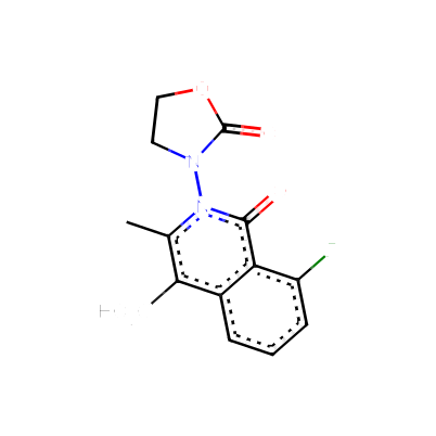 Cc1c(C(=O)O)c2cccc(F)c2c(=O)n1N1CCOC1=O